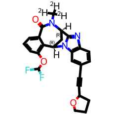 [2H]C([2H])([2H])N1C(=O)c2cccc(OC(F)F)c2[C@H]2C[C@@H]1c1nc3ccc(C#CC4CCCO4)cc3n12